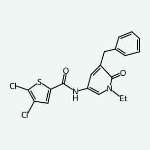 CCn1cc(NC(=O)c2cc(Cl)c(Cl)s2)cc(Cc2ccccc2)c1=O